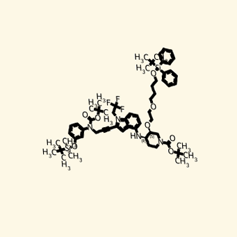 CC(C)(C)OC(=O)N1CC[C@@H](Nc2cccc3c2cc(C#CCN(C(=O)OC(C)(C)C)c2cccc(O[Si](C)(C)C(C)(C)C)c2)n3CC(F)(F)F)[C@@H](OCCOCCCCO[Si](c2ccccc2)(c2ccccc2)C(C)(C)C)C1